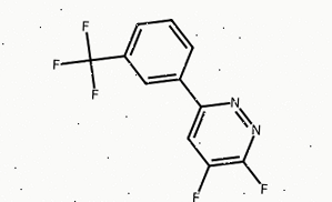 Fc1cc(-c2cccc(C(F)(F)F)c2)nnc1F